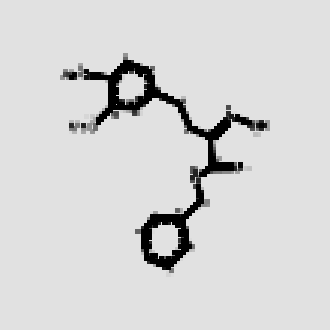 COc1ccc(CCC(=NO)C(=O)OCc2ccccc2)cc1OC